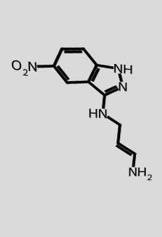 NC=CCNc1n[nH]c2ccc([N+](=O)[O-])cc12